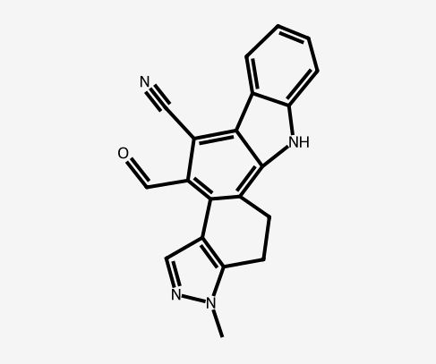 Cn1ncc2c1CCc1c-2c(C=O)c(C#N)c2c1[nH]c1ccccc12